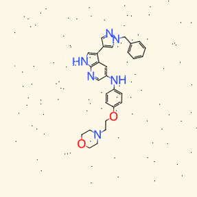 c1ccc(Cn2cc(-c3c[nH]c4ncc(Nc5ccc(OCCN6CCOCC6)cc5)cc34)cn2)cc1